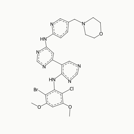 COc1cc(OC)c(Br)c(Nc2ncncc2-c2cc(Nc3ccc(CN4CCOCC4)cn3)ncn2)c1Cl